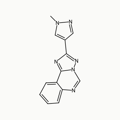 Cn1cc(-c2nc3c4ccccc4ncn3n2)cn1